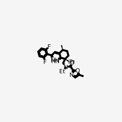 CCN(C[C@@]1(C(C)C)CC[C@H](C)/C(=C/C(=N)c2c(F)cccc2F)C1=N)C(=O)c1ncc(C)o1